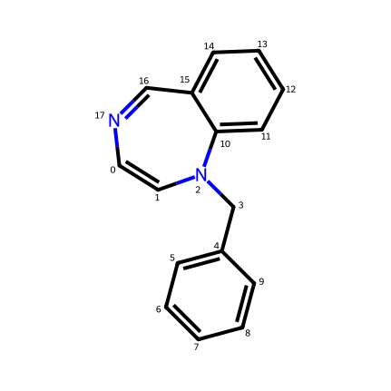 C1=CN(Cc2ccccc2)c2ccccc2C=N1